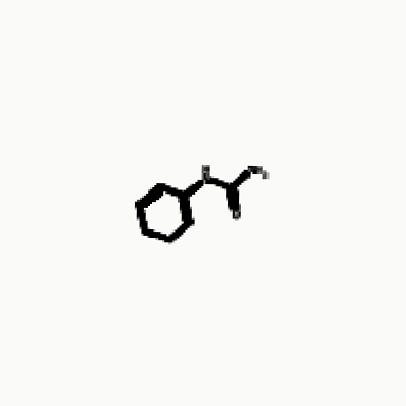 NC(=O)NC1=CCCC=C1